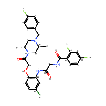 C[C@@H]1CN(Cc2ccc(F)cc2)[C@@H](C)CN1C(=O)COc1ccc(Cl)cc1NC(=O)CNC(=O)c1ccc(F)cc1F